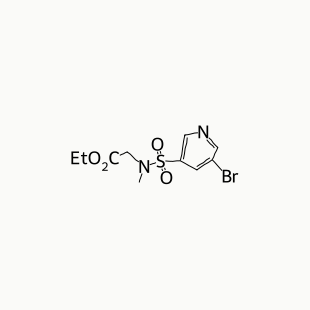 CCOC(=O)CN(C)S(=O)(=O)c1cncc(Br)c1